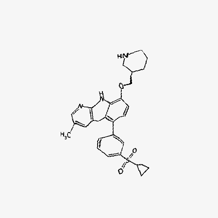 Cc1cnc2[nH]c3c(OC[C@@H]4CCCNC4)ccc(-c4cccc(S(=O)(=O)C5CC5)c4)c3c2c1